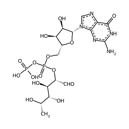 C[C@H](O)[C@@H](O)[C@@H](O)[C@@H](C=O)OP(=O)(OC[C@H]1O[C@@H](n2cnc3c(=O)[nH]c(N)nc32)[C@H](O)[C@@H]1O)OP(=O)(O)O